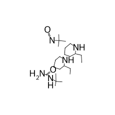 CC(C)(C)N=C=O.CC(C)(C)NC(N)=O.CCC1CCCCN1.CCC1CCCCN1